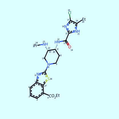 CCOC(=O)c1cccc2nc(N3CC[C@@H](NC(=O)c4nc(Cl)c(CC)[nH]4)[C@@H](NC(C)C)C3)sc12